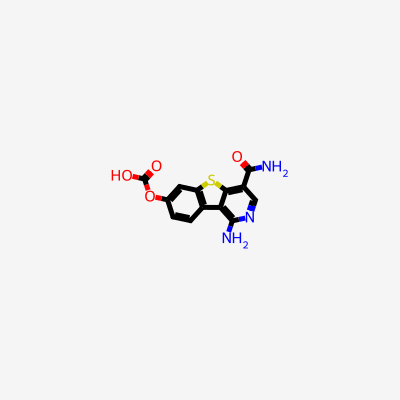 NC(=O)c1cnc(N)c2c1sc1cc(OC(=O)O)ccc12